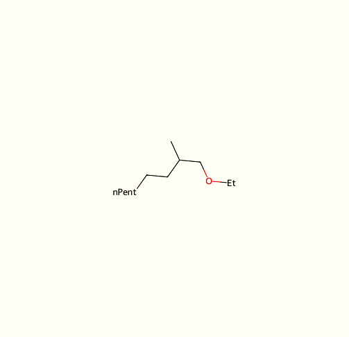 [CH2]COCC(C)CCCCCCC